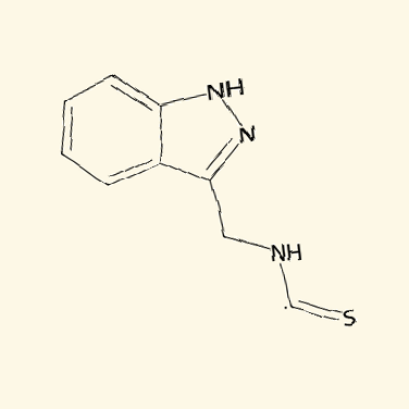 S=[C]NCc1n[nH]c2ccccc12